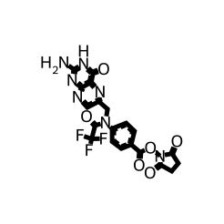 Nc1nc2ncc(CN(C(=O)C(F)(F)F)c3ccc(C(=O)ON4C(=O)CCC4=O)cc3)nc2c(=O)[nH]1